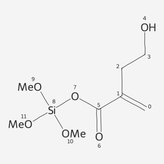 C=C(CCO)C(=O)O[Si](OC)(OC)OC